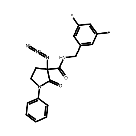 [N-]=[N+]=NC1(C(=O)NCc2cc(F)cc(F)c2)CCN(c2ccccc2)C1=O